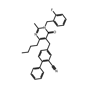 CCCCc1nc(C)n(Cc2ccccc2F)c(=O)c1Cc1ccc(-c2ccccc2)c(C#N)c1